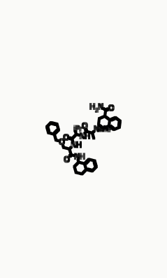 CNC(C)C(=O)NC(C(=O)NC(COCc1ccccc1)C(=O)NC1CCCc2ccccc21)C(C)C.NC(=O)C1CCCc2ccccc21